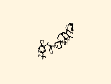 Cc1nc2c(cc1-c1ncccn1)CC[C@@]1(CCN(C(=O)[C@H](C)c3cc(C(F)(F)F)ncc3Cl)C1)N2